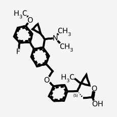 COc1ccc(F)c(-c2ccc(COc3cccc([C@@H](CC(=O)O)C4(C)CC4)c3)cc2C(C2CC2)N(C)C)c1